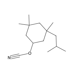 CC(C)CC1(C)CC(OC#N)CC(C)(C)C1